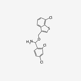 NC(OCc1csc2c(Cl)cccc12)c1ccc(Cl)cc1Cl